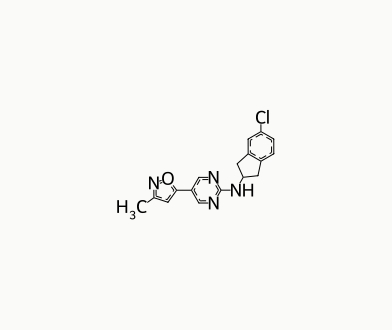 Cc1cc(-c2cnc(NC3Cc4ccc(Cl)cc4C3)nc2)on1